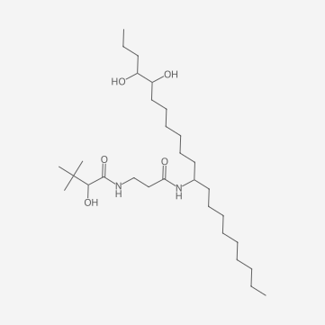 CCCCCCCCCC(CCCCCCC(O)C(O)CCC)NC(=O)CCNC(=O)C(O)C(C)(C)C